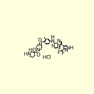 Cc1cc(Nc2nccn3c(-c4c[nH]nc4C(F)(F)F)cnc23)ccc1C(=O)N1CCN(C(=O)C2(O)CCCNC2)CC1.Cl